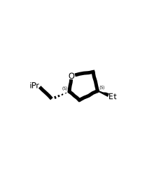 CC[C@@H]1CO[C@@H](CC(C)C)C1